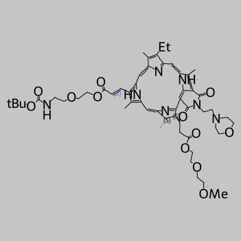 CCC1=C(C)c2cc3[nH]c(cc4nc(c5c6[nH]c(cc1n2)c(C)c6C(=O)N(CCN1CCOCC1)C5=O)[C@@H](CCC(=O)OCCOCCOC)[C@@H]4C)c(C)c3/C=C/C(=O)OCCOCCNC(=O)OC(C)(C)C